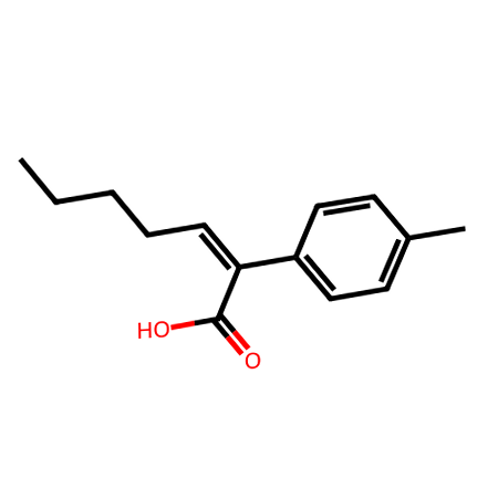 CCCCC=C(C(=O)O)c1ccc(C)cc1